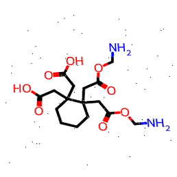 NCOC(=O)CC1(CC(=O)OCN)CCCCC1(CC(=O)O)CC(=O)O